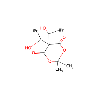 CC(C)C(O)C1(C(O)C(C)C)C(=O)OC(C)(C)OC1=O